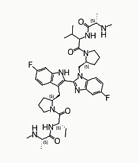 CC[C@H](NC(=O)[C@H](C)NC)C(=O)N1CCC[C@H]1Cc1c(-c2nc3cc(F)ccc3n2C[C@@H]2CCCN2C(=O)C(NC(=O)[C@H](C)NC)C(C)C)[nH]c2cc(F)ccc12